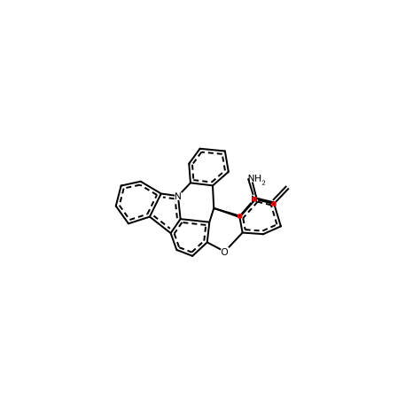 C=CN(C)CC12c3ccccc3-n3c4ccccc4c4ccc(c1c43)Oc1cccc(N)c12